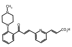 CN1CCN(c2ccccc2C(=O)C=Cc2cccc(C=CC(=O)O)n2)CC1